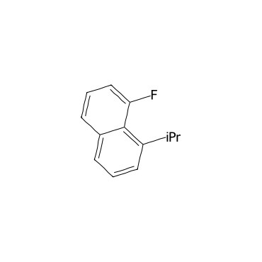 CC(C)c1cccc2cccc(F)c12